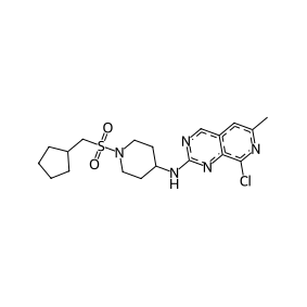 Cc1cc2cnc(NC3CCN(S(=O)(=O)CC4CCCC4)CC3)nc2c(Cl)n1